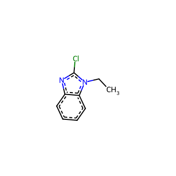 CCn1c(Cl)nc2ccccc21